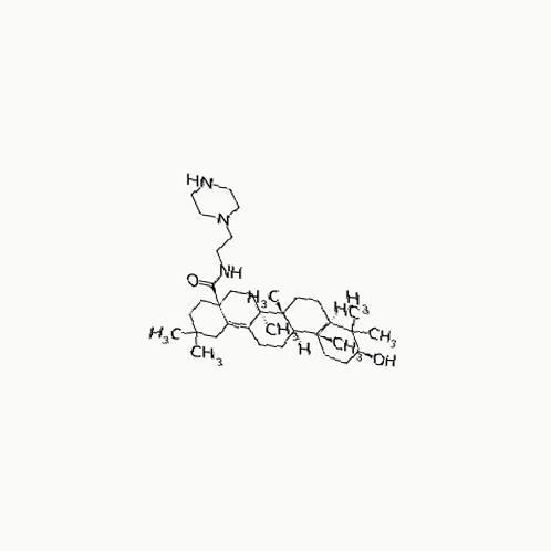 CC1(C)CC[C@]2(C(=O)NCCN3CCNCC3)CC[C@]3(C)C(=C2C1)CC[C@@H]1[C@@]2(C)CC[C@H](O)C(C)(C)[C@@H]2CC[C@]13C